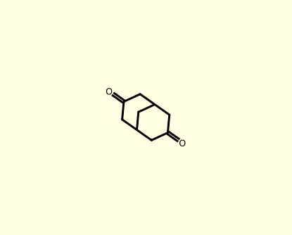 O=C1CC2CC(=O)CC(C1)C2